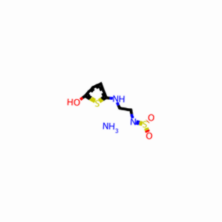 N.O=S(=O)=NCCNc1ccc(O)s1